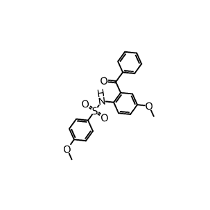 COc1ccc(S(=O)(=O)Nc2ccc(OC)cc2C(=O)c2ccccc2)cc1